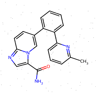 Cc1cccc(-c2ccccc2-c2ccc3ncc(C(N)=O)n3c2)n1